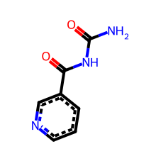 NC(=O)NC(=O)c1cccnc1